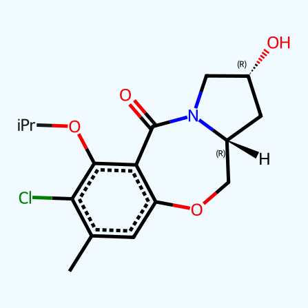 Cc1cc2c(c(OC(C)C)c1Cl)C(=O)N1C[C@H](O)C[C@@H]1CO2